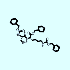 CC(C)C[C@H](NC(=O)OCc1ccccc1)C(=O)N[C@@H](CCCCNC(=O)OCc1ccccc1)C(=O)OCc1ccccc1